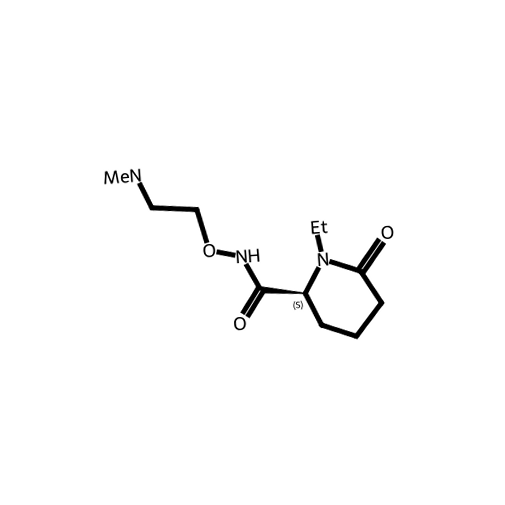 CCN1C(=O)CCC[C@H]1C(=O)NOCCNC